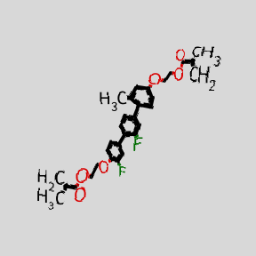 C=C(C)C(=O)OCCOc1ccc(-c2ccc(-c3ccc(OCCOC(=O)C(=C)C)c(F)c3)c(F)c2)c(C)c1